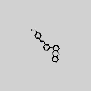 Cc1ccc(/C=C/c2cccc(-c3cccc4c3Sc3ccccc3S4)c2)cc1